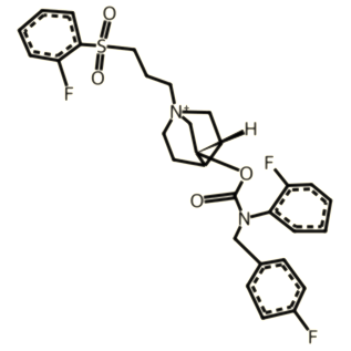 O=C(O[C@H]1C[N+]2(CCCS(=O)(=O)c3ccccc3F)CCC1CC2)N(Cc1ccc(F)cc1)c1ccccc1F